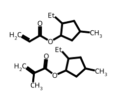 C=C(C)C(=O)OC1CC(C)CC1CC.C=CC(=O)OC1CC(C)CC1CC